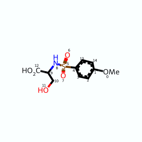 COc1ccc(S(=O)(=O)NC(CO)C(=O)O)cc1